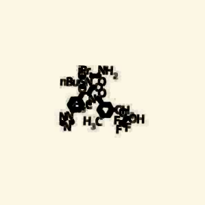 CCCCS(=O)(=O)N(C(=O)[C@H](Cc1ccc(-n2cncn2)cc1)N(C)C(=O)c1cc(C)cc(C)c1)[C@H](C(N)=O)C(C)C.O=C(O)C(F)(F)F